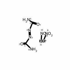 NC(=O)N=NC(N)=O.O=[N+]([O-])O.O=[N+]([O-])O